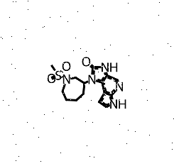 CS(=O)(=O)N1CCCCC(n2c(=O)[nH]c3cnc4[nH]ccc4c32)C1